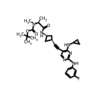 C[C@@H](C(=O)N[C@H]1C[C@@H](C#Cc2cnc(Nc3cccc(F)c3)nc2NC2CC2)C1)N(C)C(=O)OC(C)(C)C